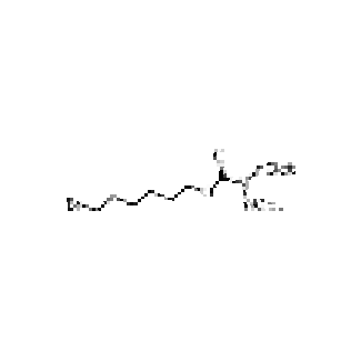 CCCCCCCCN(CCCCCCCC)C(=O)OCCCCCCBr